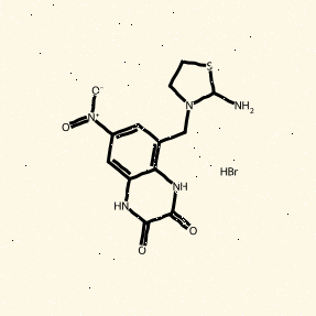 Br.NC1SCCN1Cc1cc([N+](=O)[O-])cc2[nH]c(=O)c(=O)[nH]c12